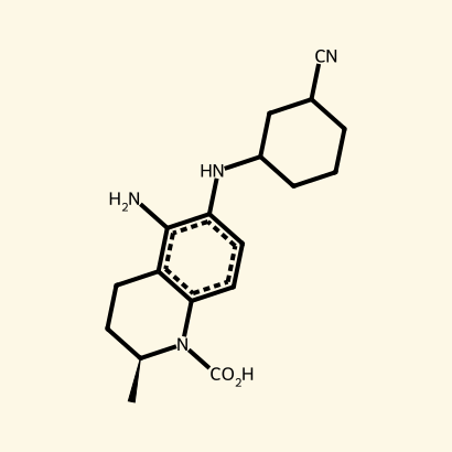 C[C@H]1CCc2c(ccc(NC3CCCC(C#N)C3)c2N)N1C(=O)O